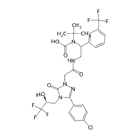 CC(C)(C)N(C(=O)O)C(CNC(=O)Cn1nc(-c2ccc(Cl)cc2)n(C[C@H](O)C(F)(F)F)c1=O)c1cccc(C(F)(F)F)c1